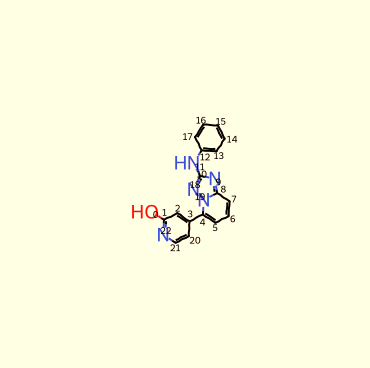 Oc1cc(-c2cccc3nc(Nc4ccccc4)nn23)ccn1